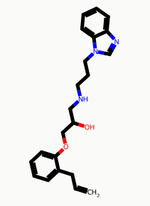 C=CCc1ccccc1OCC(O)CNCCCn1cnc2ccccc21